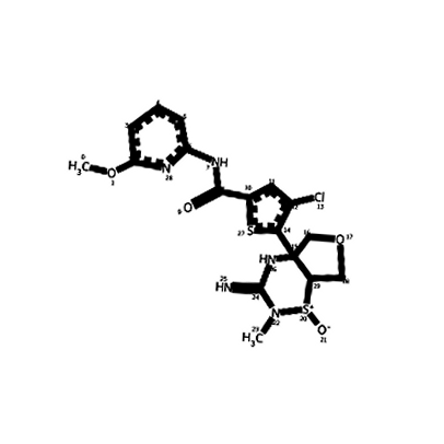 COc1cccc(NC(=O)c2cc(Cl)c(C34COCC3[S+]([O-])N(C)C(=N)N4)s2)n1